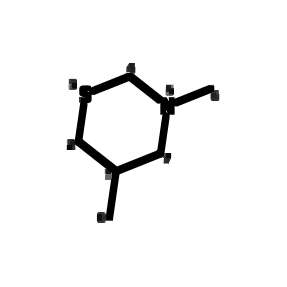 CC1CSCN(C)C1